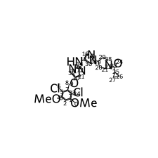 COc1cc(OC)c(Cl)c(COc2cnc(Nc3cnn(C4CCN(C(=O)C5CC5)CC4)c3)nc2)c1Cl